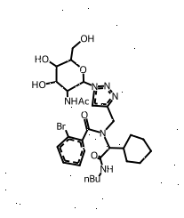 CCCCNC(=O)C(C1CCCCC1)N(Cc1cn(C2OC(CO)C(O)C(O)C2NC(C)=O)nn1)C(=O)c1ccccc1Br